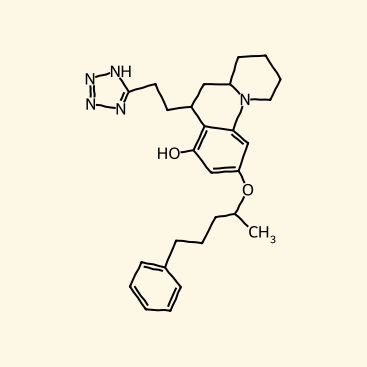 CC(CCCc1ccccc1)Oc1cc(O)c2c(c1)N1CCCCC1CC2CCc1nnn[nH]1